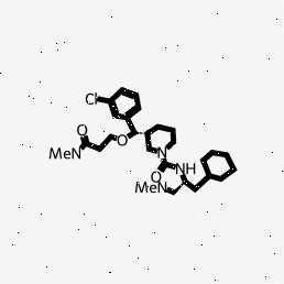 CNC[C@H](CC1CCCCC1)NC(=O)N1CCC[C@@H](C(OCCC(=O)NC)c2cccc(Cl)c2)C1